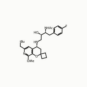 COc1nc(CC(C)(C)C)cc2c1OC1(CCC1)C[C@@H]2NC[C@@H](O)[C@H](Cc1ccc(F)cc1)NC(C)=O